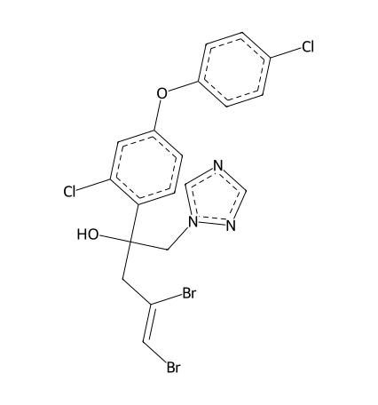 OC(C/C(Br)=C/Br)(Cn1cncn1)c1ccc(Oc2ccc(Cl)cc2)cc1Cl